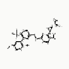 COc1ccc(F)c(-c2cc(COc3ccc4c(c3)[C@@]3(CC4)C[C@@H]3C(=O)O)ccc2C(C)(C)C)c1